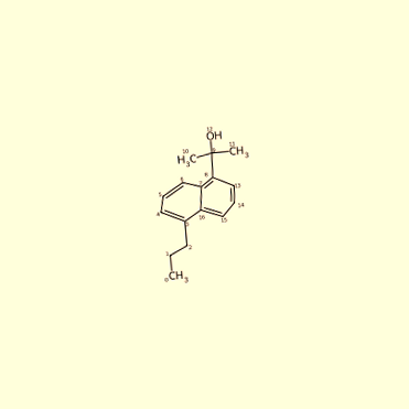 CCCc1cccc2c(C(C)(C)O)cccc12